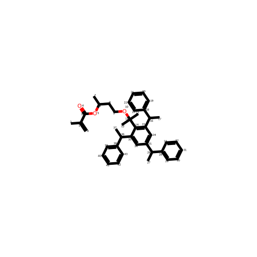 C=C(C)C(=O)OC(C)CCOC(C)(C)c1c(C(C)c2ccccc2)cc(C(C)c2ccccc2)cc1C(C)c1ccccc1